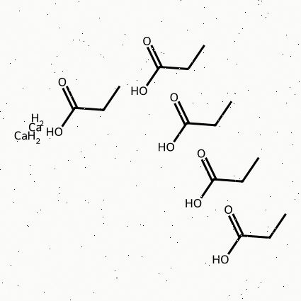 CCC(=O)O.CCC(=O)O.CCC(=O)O.CCC(=O)O.CCC(=O)O.[CaH2].[CaH2]